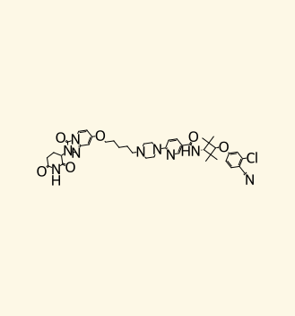 CC1(C)[C@H](NC(=O)c2ccc(N3CCN(CCCCCOc4ccn5c(=O)n(C6CCC(=O)NC6=O)nc5c4)CC3)nc2)C(C)(C)[C@H]1Oc1ccc(C#N)c(Cl)c1